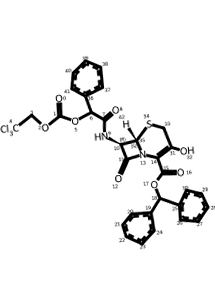 O=C(OCC(Cl)(Cl)Cl)OC(C(=O)N[C@@H]1C(=O)N2C(C(=O)OC(c3ccccc3)c3ccccc3)=C(O)CS[C@@H]12)c1ccccc1